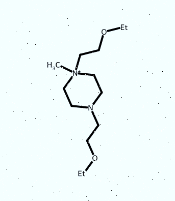 CCOCCN1CC[N+](C)(CCOCC)CC1